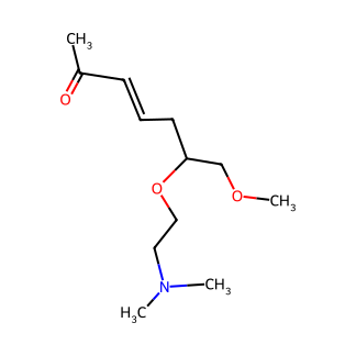 COCC(C/C=C/C(C)=O)OCCN(C)C